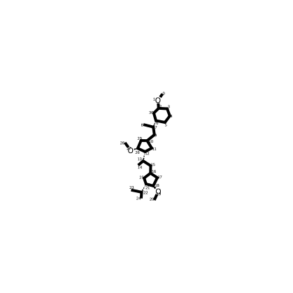 COC1CCC[C@H](C(C)CC2C[C@H](C(C)CC3C[C@@H](OC)[C@H](C(C)C)C3)[C@H](OC)C2)C1